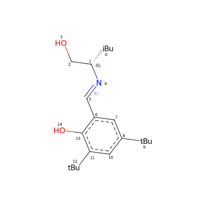 CCC(C)[C@@H](CO)/N=C/c1cc(C(C)(C)C)cc(C(C)(C)C)c1O